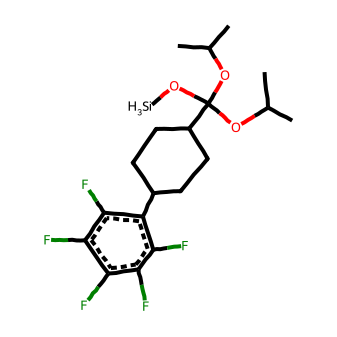 CC(C)OC(O[SiH3])(OC(C)C)C1CCC(c2c(F)c(F)c(F)c(F)c2F)CC1